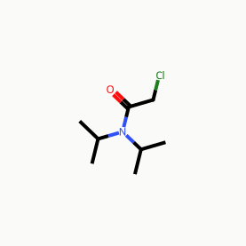 CC(C)N(C(=O)CCl)C(C)C